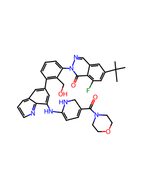 CC(C)(C)c1cc(F)c2c(=O)n(-c3cccc(-c4cc(NC5=CC=C(C(=O)N6CCOCC6)CN5)c5ncccc5c4)c3CO)ncc2c1